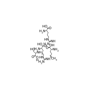 CSCCC(N)C(=O)O.N=C(N)NCCCC(N)C(=O)O.N=C(N)NCCCC(N)C(=O)O.NC(CO)C(=O)O